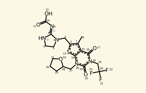 Cc1c(CN2CCN/C2=N\C(=O)O)sc2c1c(=O)n(CC(F)(F)F)c(=O)n2CC1CCCO1